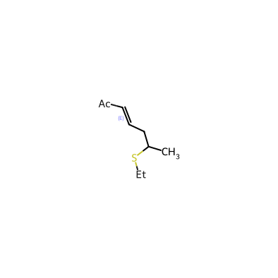 CCSC(C)C/C=C/C(C)=O